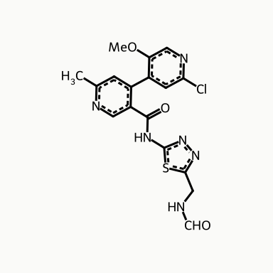 COc1cnc(Cl)cc1-c1cc(C)ncc1C(=O)Nc1nnc(CNC=O)s1